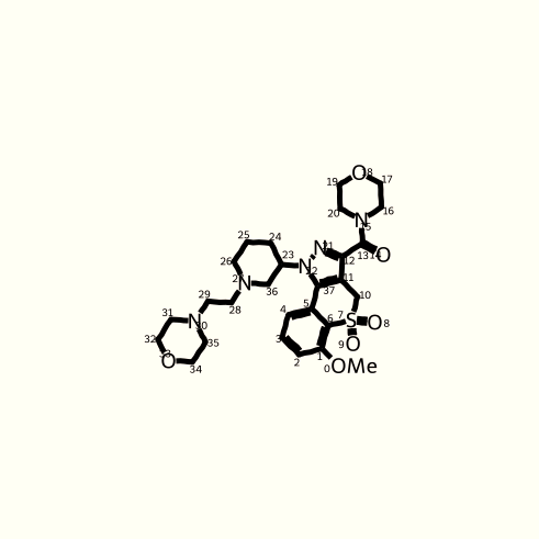 COc1cccc2c1S(=O)(=O)Cc1c(C(=O)N3CCOCC3)nn(C3CCCN(CCN4CCOCC4)C3)c1-2